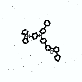 c1ccc(-c2ccc(N(c3ccc(-c4ccc5oc6c(-c7ccccc7)cccc6c5c4)cc3)c3ccc(-n4c5ccccc5c5ccccc54)cc3)cc2)cc1